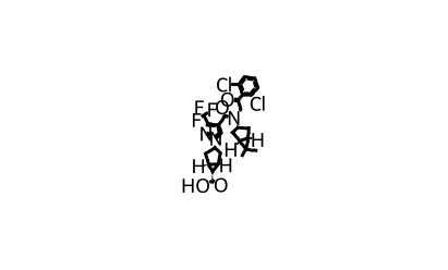 CC1(C)[C@@H]2C[C@H](N(CC(=O)c3c(Cl)cccc3Cl)C(=O)c3cn([C@H]4C[C@@H]5[C@H](C4)[C@H]5C(=O)O)nc3C(F)(F)F)C[C@@H]21